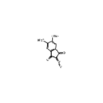 COc1cc2c(=O)c(=[N+]=[N-])c(=O)c2cc1OC